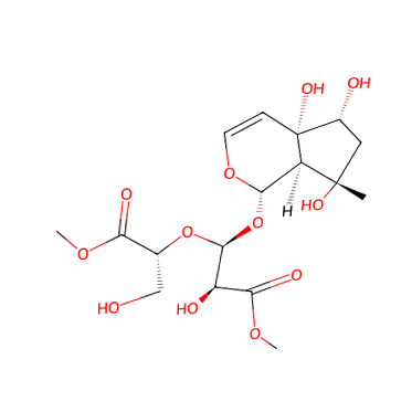 COC(=O)[C@@H](O)[C@H](O[C@@H]1OC=C[C@@]2(O)[C@H](O)C[C@](C)(O)[C@@H]12)O[C@H](CO)C(=O)OC